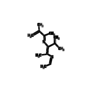 C=C(C)/C(C)=N/C(C(=C)C)=C(C)/N=C\C